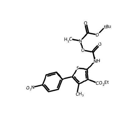 CCOC(=O)c1c(NC(=O)ON(C)C(=O)OC(C)(C)C)sc(-c2ccc([N+](=O)[O-])cc2)c1C